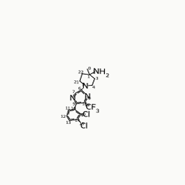 CC1(N)CCN(c2cnc(-c3cccc(Cl)c3Cl)c(C(F)(F)F)n2)CC1